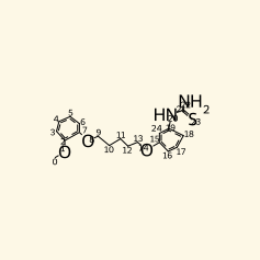 COc1ccccc1OCCCCCOc1cccc(NC(N)=S)c1